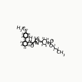 CCCCOC(=O)N1CCC(c2nc(C(=O)Nc3ccccc3-c3ccc(CC)cc3)cs2)CC1